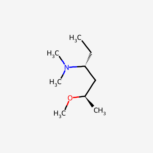 CC[C@H](C[C@@H](C)OC)N(C)C